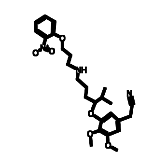 COc1cc(CC#N)cc(OC(CCCNCCCOc2ccccc2[N+](=O)[O-])C(C)C)c1OC